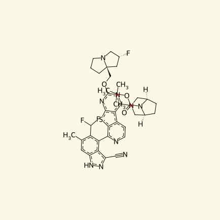 Cc1cc2[nH]nc(C#N)c2c(-c2nccc3c2sc2nc(OC[C@@]45CCCN4C[C@H](F)C5)nc(N4C[C@H]5CC[C@@H](C4)N5C(=O)OC(C)(C)C)c23)c1C(F)F